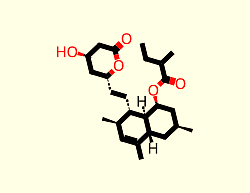 CCC(C)C(=O)O[C@H]1C[C@@H](C)C[C@@H]2C(C)=C[C@@H](C)[C@H](CC[C@@H]3C[C@@H](O)CC(=O)O3)[C@@H]12